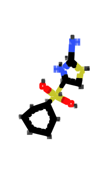 N=c1[nH]c(S(=O)(=O)c2ccccc2)cs1